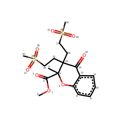 COC(=O)C1(C)Oc2ccccc2C(=O)C1(CCS(C)(=O)=O)CCS(C)(=O)=O